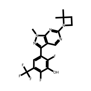 Cn1nc(-c2cc(C(F)(F)F)c(F)c(O)c2F)c2cnc(N3CCC3(C)C)nc21